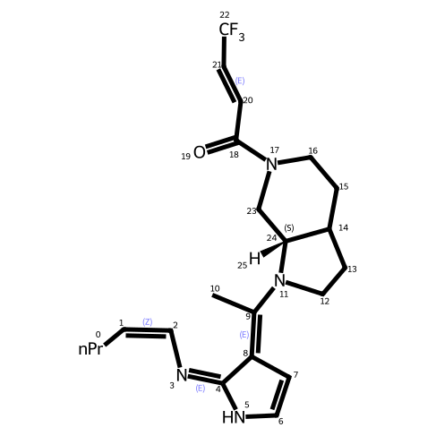 CCC\C=C/N=C1/NC=C/C1=C(/C)N1CCC2CCN(C(=O)/C=C/C(F)(F)F)C[C@H]21